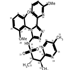 COc1cccc(-c2nnc(NS(=O)(=O)[C@@H](C)[C@H](C)c3ncc(C)cn3)n2-c2c(OC)cccc2OC)n1